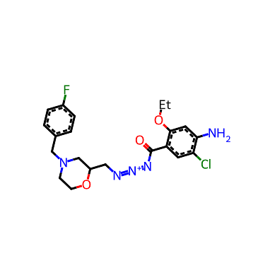 CCOc1cc(N)c(Cl)cc1C(=O)N=[N+]=NCC1CN(Cc2ccc(F)cc2)CCO1